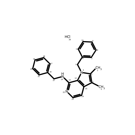 Cc1c(C)n(Cc2ccccc2)c2c(NCc3ccccc3)nccc12.Cl